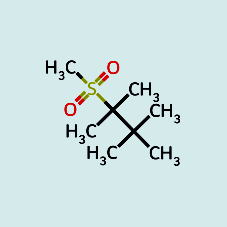 CC(C)(C)C(C)(C)S(C)(=O)=O